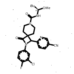 CCC(C)[C@H](NC(=O)N1CCC2(CC1)C(=O)N(c1ccc(F)c(Cl)c1)C2c1ccc(C#N)cn1)OC